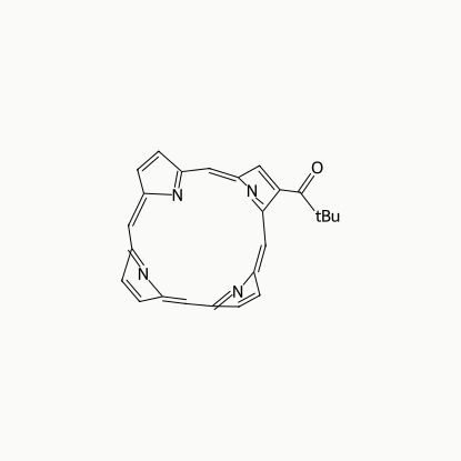 CC(C)(C)C(=O)C1=CC2=CC3=NC(=CC4=NC(=CC5=NC(=CC1=N2)C=C5)C=C4)C=C3